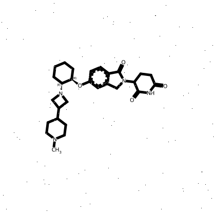 CN1CCC(C2CN([C@@H]3CCCC[C@H]3Oc3ccc4c(c3)CN(C3CCC(=O)NC3=O)C4=O)C2)CC1